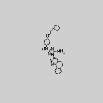 Nc1nc(Nc2ccc(OCCN3CCCC3)cc2)nn1-c1cc2c(nn1)-c1ccccc1CC2